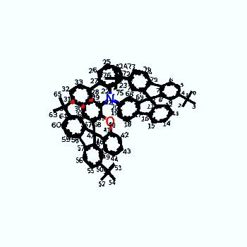 CC(C)(C)c1ccc2c(c1)C1(c3ccccc3-c3ccc(N(c4ccccc4-c4ccccc4)c4cccc5c4Oc4ccccc4C54c5cc(C(C)(C)C)ccc5-c5ccc(C(C)(C)C)cc54)cc31)c1cc(C(C)(C)C)ccc1-2